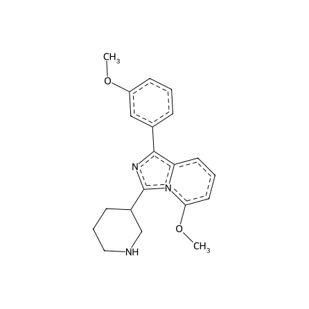 COc1cccc(-c2nc(C3CCCNC3)n3c(OC)cccc23)c1